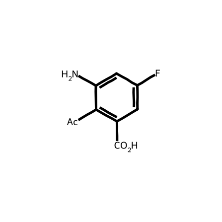 CC(=O)c1c(N)cc(F)cc1C(=O)O